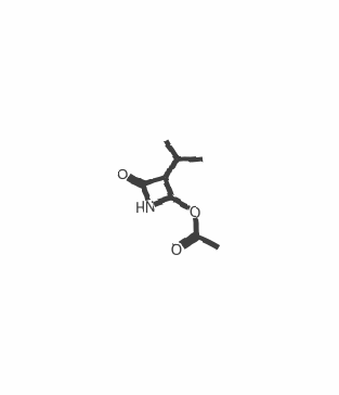 CC(=O)OC1NC(=O)C1C(C)C